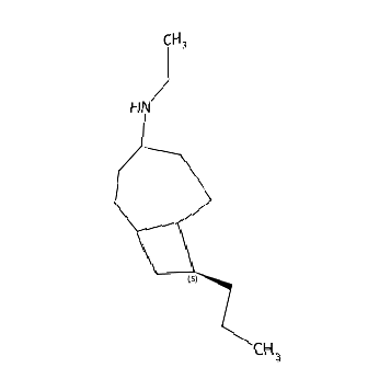 CCC[C@H]1CC2CCC(NCC)CCC21